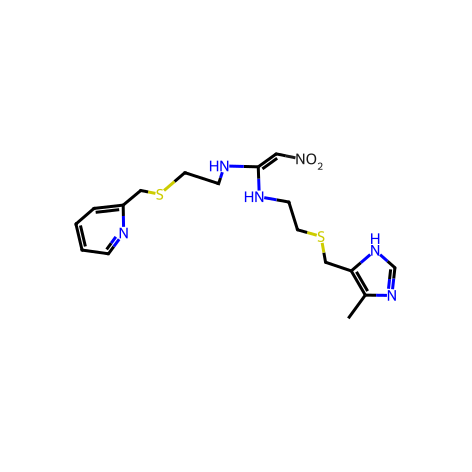 Cc1nc[nH]c1CSCCNC(=C[N+](=O)[O-])NCCSCc1ccccn1